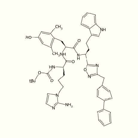 Cc1cc(O)cc(C)c1C[C@H](NC(=O)[C@@H](CCCn1ccnc1N)NC(=O)OC(C)(C)C)C(=O)N[C@@H](CCc1c[nH]c2ccccc12)c1nc(Cc2ccc(-c3ccccc3)cc2)no1